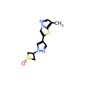 Cc1cnn2cc(-c3cnn(C4C[S+]([O-])C4)c3)sc12